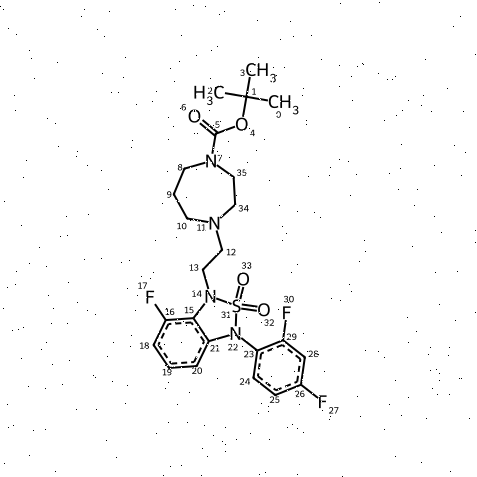 CC(C)(C)OC(=O)N1CCCN(CCN2c3c(F)cccc3N(c3ccc(F)cc3F)S2(=O)=O)CC1